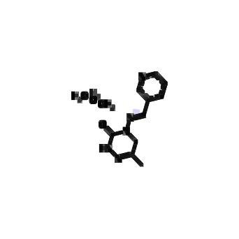 CC1=NNC(=O)N(/N=C/c2cccnc2)C1.O.O.O